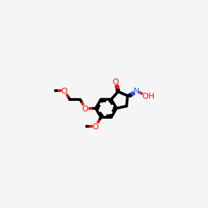 COCCOc1cc2c(cc1OC)CC(=NO)C2=O